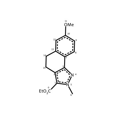 CCOC(=O)c1c2c(nn1C)-c1ccc(OC)cc1CC2